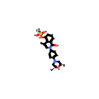 Cc1cn(-c2ccc(N3C[C@@H](C)O[C@@H](C)C3)cc2)c(=O)c2cccc(OS(=O)(=O)C(F)(F)F)c12